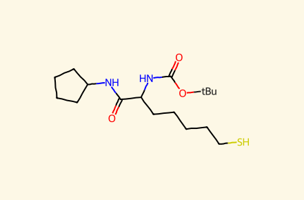 CC(C)(C)OC(=O)NC(CCCCCS)C(=O)NC1CCCC1